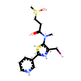 CN(C(=O)CC[S+](C)[O-])c1sc(-c2cccnc2)nc1CI